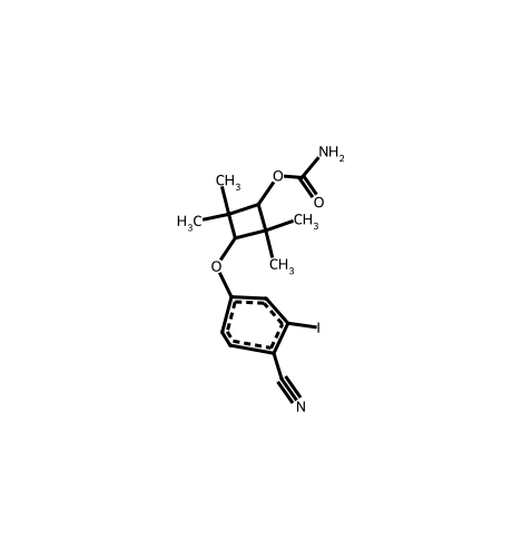 CC1(C)C(OC(N)=O)C(C)(C)C1Oc1ccc(C#N)c(I)c1